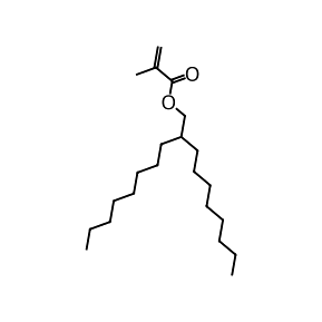 C=C(C)C(=O)OCC(CCCCCCCC)CCCCCCCC